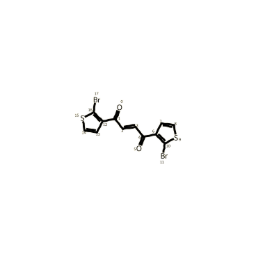 O=C(/C=C/C(=O)c1ccsc1Br)c1ccsc1Br